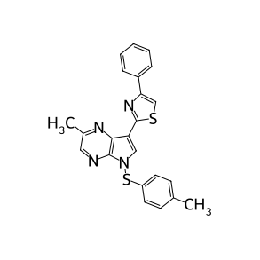 Cc1ccc(Sn2cc(-c3nc(-c4ccccc4)cs3)c3nc(C)cnc32)cc1